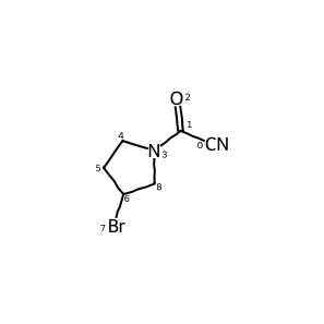 N#CC(=O)N1CCC(Br)C1